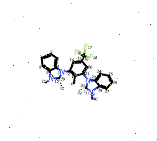 Cc1c(N2c3ccccc3N(C)[C@H]2C)cc(C(F)(F)F)cc1N1c2ccccc2N(C)[C@@H]1C